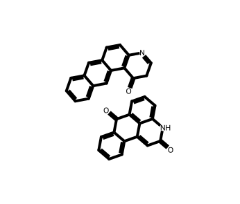 O=C1CC=Nc2ccc3cc4ccccc4cc3c21.O=C1c2ccccc2-c2cc(=O)[nH]c3cccc1c23